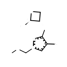 COCn1cc(N)c(O[C@H]2CO[C@@H]2C)n1